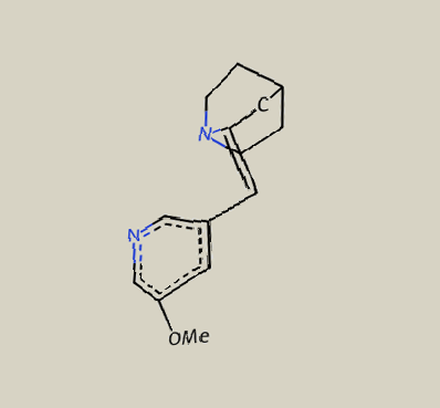 COc1cncc(/C=C2/CC3CCN2CC3)c1